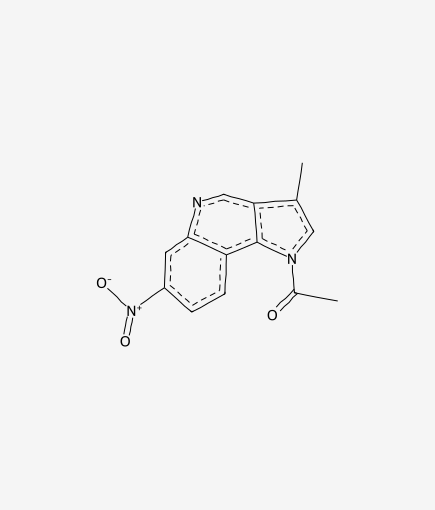 CC(=O)n1cc(C)c2cnc3cc([N+](=O)[O-])ccc3c21